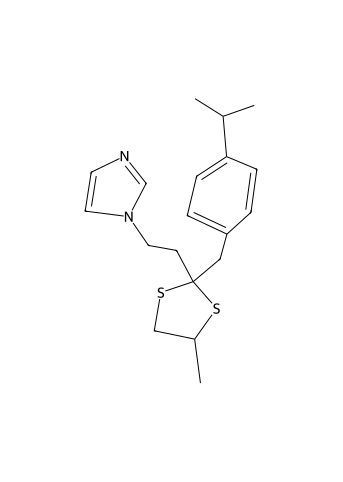 CC1CSC(CCn2ccnc2)(Cc2ccc(C(C)C)cc2)S1